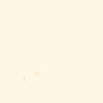 Fc1cc(F)cc(PI)c1